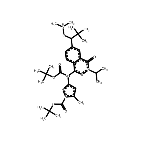 Cc1cc([As](C(=O)OC(C)(C)C)c2nn(C(C)C)c(=O)c3cc(C(O[SiH](C)C)C(C)(C)C)ccc23)nn1C(=O)OC(C)(C)C